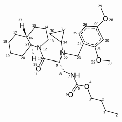 CCCCOC(=O)NC[C@H](C(=O)N1CCC[C@H]2CCCC[C@@H]21)N(Cc1ccc(OC)cc1OC)C1CC1